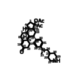 CC(=O)O[C@]1(C(C)=O)CC[C@H]2[C@@H]3CCC4=CC(=O)CCC4=C3[C@@H](c3ccc(N(C)CC4CCNCC4)cc3)C[C@@]21C